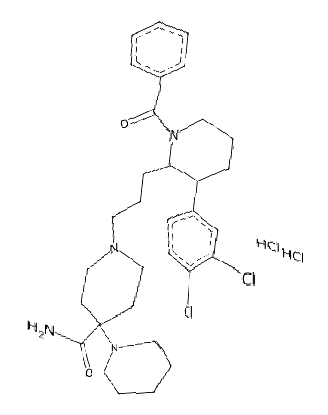 Cl.Cl.NC(=O)C1(N2CCCCC2)CCN(CCCC2C(c3ccc(Cl)c(Cl)c3)CCCN2C(=O)c2ccccc2)CC1